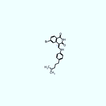 CN(C)CCCc1ccc(N/C=C2\C(=O)NC(=O)c3ccc(Br)cc32)cc1